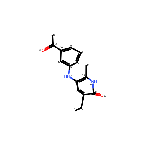 CCc1cc(Nc2cccc(C(C)=O)c2)c(C)[nH]c1=O